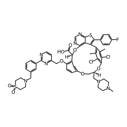 Cc1c(Cl)c2c(Cl)c(C)c1-c1c(-c3ccc(F)cc3)sc3ncnc(c13)O[C@@H](C(=O)O)c1cc(ccc1OCc1ccnc(-c3cccc(CN4CCS(=O)(=O)CC4)c3)n1)OC[C@@H](CN1CCN(C)CC1)O2